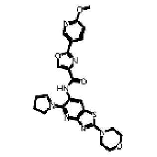 COc1ccc(-c2nc(C(=O)Nc3cc4sc(N5CCOCC5)nc4nc3N3CCCC3)co2)cn1